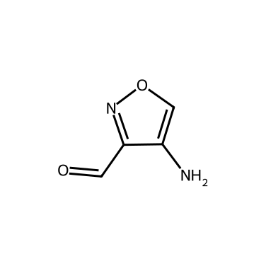 Nc1conc1C=O